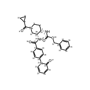 O=C(N[C@H]1CCN(C(=O)C2CC2)C[C@H]1NC(=O)c1ccc(-n2ccccc2=O)cc1)OCc1ccccc1